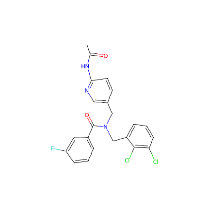 CC(=O)Nc1ccc(CN(Cc2cccc(Cl)c2Cl)C(=O)c2cccc(F)c2)cn1